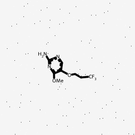 COc1nc(N)ncc1OCCC(F)(F)F